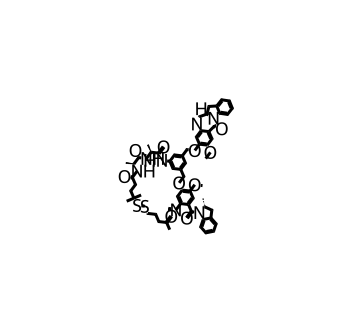 C=Nc1cc(OCc2cc(COc3cc4c(cc3OC)C(=O)N3c5ccccc5C[C@H]3C=N4)cc(NC(=O)[C@H](C)NC(=O)[C@H](C)NC(=O)CCC(C)(C)SSCCCC(C)=O)c2)c(OC)cc1C(=O)N1c2ccccc2C[C@H]1C